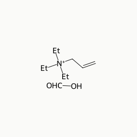 C=CC[N+](CC)(CC)CC.O=CO